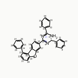 N/C(=N\C(=N/Cc1ccccc1)c1ccc2c(c1)oc1cccc(-c3ccccc3)c12)c1ccccc1